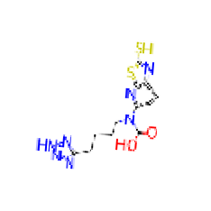 O=C(O)N(CCCCc1nn[nH]n1)c1ccc2nc(S)sc2n1